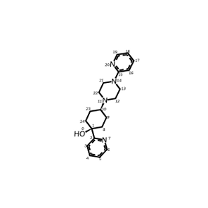 O[C@]1(c2ccccn2)CC[C@H](N2CCN(c3ccccn3)CC2)CC1